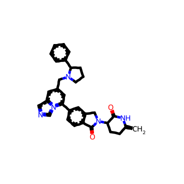 C=C1CCC(N2Cc3cc(-c4cc(CN5CCCC5c5ccccc5)cc5cncn45)ccc3C2=O)C(=O)N1